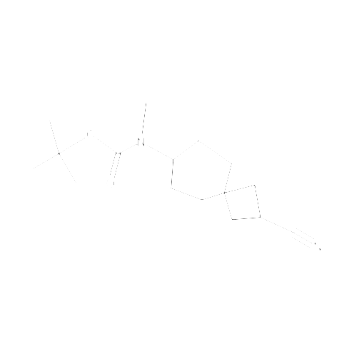 CN(C(=O)OC(C)(C)C)C1CCC2(CC1)CC(C#N)C2